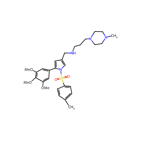 COc1cc(-c2cc(CNCCCN3CCN(C)CC3)cn2S(=O)(=O)c2ccc(C)cc2)cc(OC)c1OC